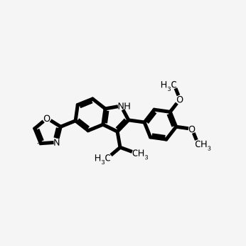 COc1ccc(-c2[nH]c3ccc(-c4n[c]co4)cc3c2C(C)C)cc1OC